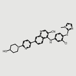 Cn1ccnc1Sc1ccc(Nc2c(C#N)cnc3cc(-c4ccc(N5CCC(O)CC5)nc4)ccc23)cc1Cl